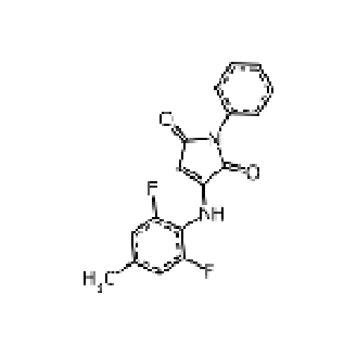 Cc1cc(F)c(NC2=CC(=O)N(c3ccccc3)C2=O)c(F)c1